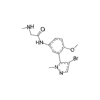 CNCC(=O)Nc1ccc(OC)c(-c2c(Br)cnn2C)c1